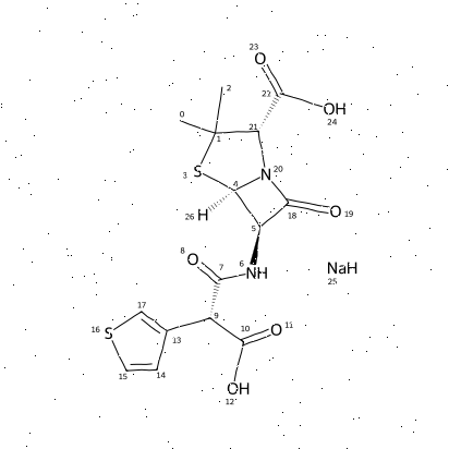 CC1(C)S[C@@H]2[C@H](NC(=O)[C@H](C(=O)O)c3ccsc3)C(=O)N2[C@H]1C(=O)O.[NaH]